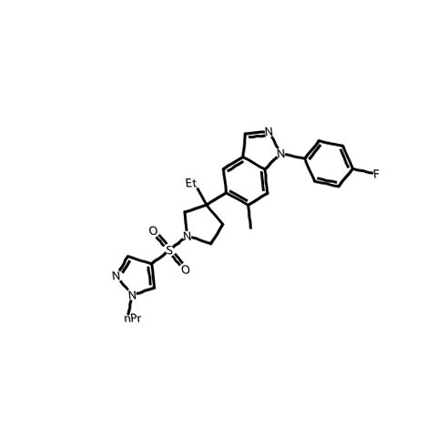 CCCn1cc(S(=O)(=O)N2CCC(CC)(c3cc4cnn(-c5ccc(F)cc5)c4cc3C)C2)cn1